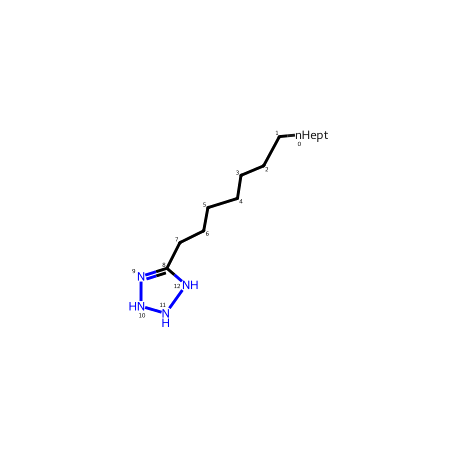 CCCCCCCCCCCCCCC1=NNNN1